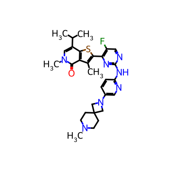 Cc1c(-c2nc(Nc3ccc(N4CC5(CCN(C)CC5)C4)cn3)ncc2F)sc2c(C(C)C)cn(C)c(=O)c12